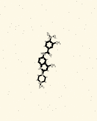 Cc1cc(C(=O)Nc2ccc3nc(N4CCN(C)CC4)cc(C)c3c2)ccc1[N+](=O)[O-]